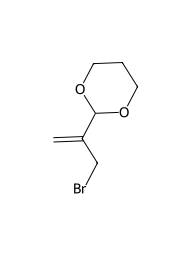 C=C(CBr)C1OCCCO1